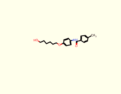 Cc1ccc(C(=O)Nc2ccc(OCCCCCCO)cc2)cc1